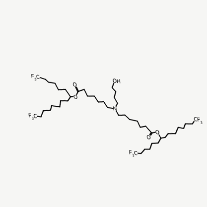 O=C(CCCCCCN(CCCCO)CCCCCCC(=O)OC(CCCCCCCC(F)(F)F)CCCCCC(F)(F)F)OC(CCCCCCCC(F)(F)F)CCCCCC(F)(F)F